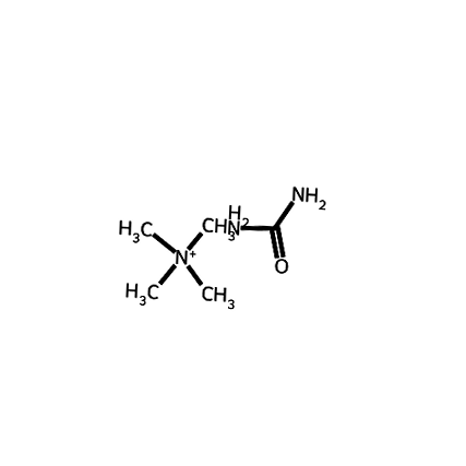 C[N+](C)(C)C.NC(N)=O